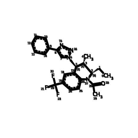 CC[C@H]1[C@@H](C)[C@H](n2cc(-c3ccccc3)nn2)c2cc(C(F)(F)F)ccc2N1C(C)=O